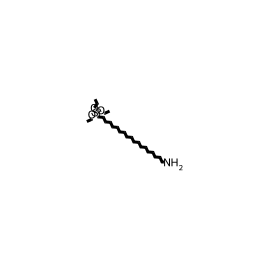 CCO[Si](CCCCCCCCCCCCCCCCCCCN)(OCC)OCC